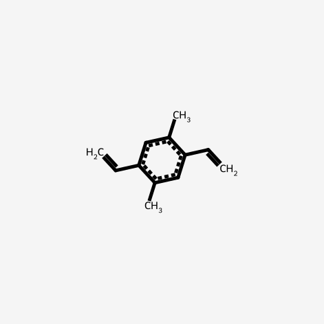 C=Cc1cc(C)c(C=C)cc1C